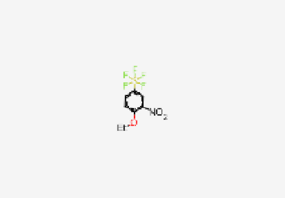 CCOc1ccc(S(F)(F)(F)(F)F)cc1[N+](=O)[O-]